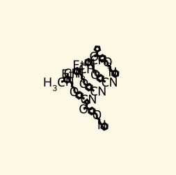 CC1CC(C)CN(CCCOc2ccc(C#N)cc2)C1.CCC1CCC(C)N(CCCOc2ccc(C#N)cc2)C1.CCC1CCC(C)N(CCCOc2ccc(C#N)cc2)C1.O=C(c1ccc(OCCCN2CCCCC2)cc1)C1CCC1.O=C(c1ccc(OCCCN2CCCCC2)cc1)C1CCCC1